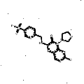 CCS(=O)(=O)c1ccc(CNc2nc3cnc(Cl)nc3n([C@H]3CCOC3)c2=O)nc1